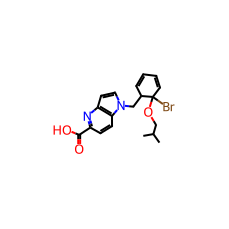 CC(C)COC1(Br)C=CC=CC1Cn1ccc2nc(C(=O)O)ccc21